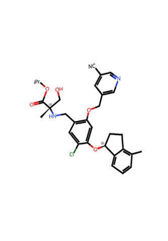 Cc1cccc2c1CC[C@@H]2Oc1cc(OCc2cncc(C#N)c2)c(CN[C@@](C)(CO)C(=O)OC(C)C)cc1Cl